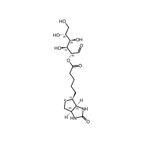 O=C[C@H](OC(=O)CCCC[C@@H]1SC[C@@H]2NC(=O)N[C@@H]21)[C@@H](O)[C@H](O)[C@H](O)CO